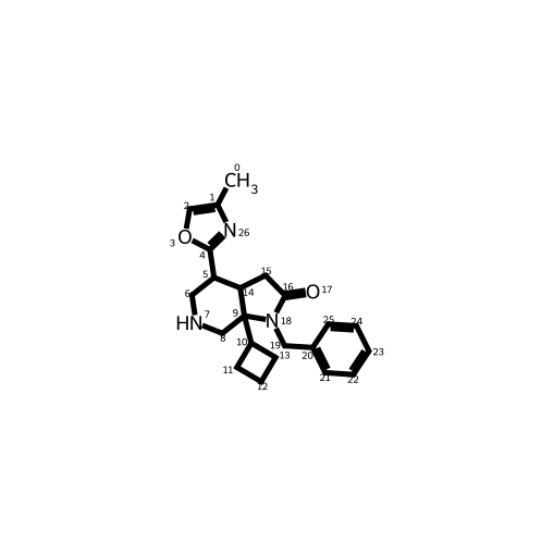 Cc1coc(C2CNCC3(C4CCC4)C2CC(=O)N3Cc2ccccc2)n1